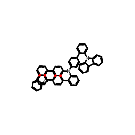 c1ccc(-c2ccc(-c3ccccc3N(c3ccc(-c4ccccc4-n4c5ccccc5c5ccccc54)cc3)c3ccc(-c4cccc5c4oc4ccccc45)cc3)cc2)cc1